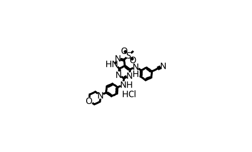 CS(=O)(=O)c1n[nH]c2nc(Nc3ccc(N4CCOCC4)cc3)nc(Nc3cccc(C#N)c3)c12.Cl